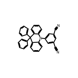 N#Cc1cc(C#N)cc(N2c3ccccc3C(c3ccccc3)(c3ccccc3)c3ccccc32)c1